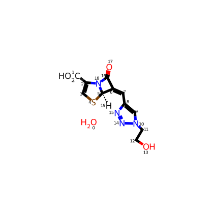 O.O=C(O)C1=CS[C@@H]2/C(=C\c3cn(CCO)nn3)C(=O)N12